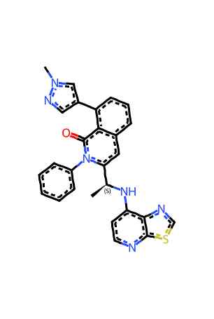 C[C@H](Nc1ccnc2scnc12)c1cc2cccc(-c3cnn(C)c3)c2c(=O)n1-c1ccccc1